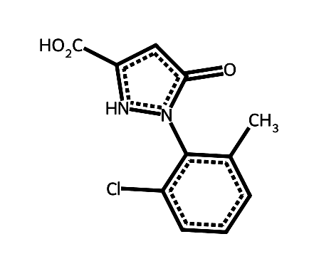 Cc1cccc(Cl)c1-n1[nH]c(C(=O)O)cc1=O